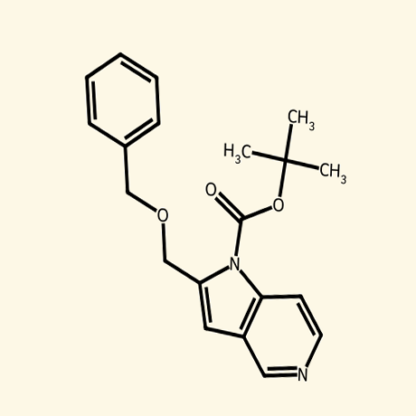 CC(C)(C)OC(=O)n1c(COCc2ccccc2)cc2cnccc21